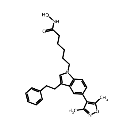 Cc1noc(C)c1-c1ccc2c(c1)c(CCc1ccccc1)cn2CCCCCC(=O)NO